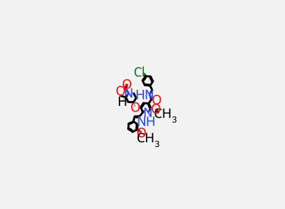 COc1nc(-c2cc3cccc(OC)c3[nH]2)c(O[C@H]2CCN3C(=O)OC[C@@H]3C2)cc1C(=O)NCc1ccc(Cl)cc1